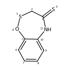 S=C1CSOc2ccccc2N1